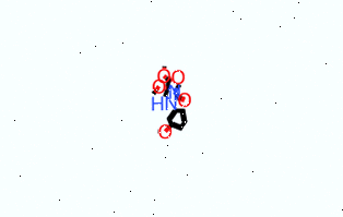 COC(=O)C(C)(OC)N(C)C(=O)Nc1cccc(OC)c1